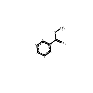 O=C(SC(F)(F)F)c1ccccc1